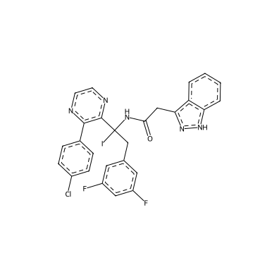 O=C(Cc1n[nH]c2ccccc12)NC(I)(Cc1cc(F)cc(F)c1)c1nccnc1-c1ccc(Cl)cc1